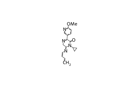 C=C/C=C\N=C1/CN=C(c2ccc(OC)nc2)C(=O)N1C1CC1